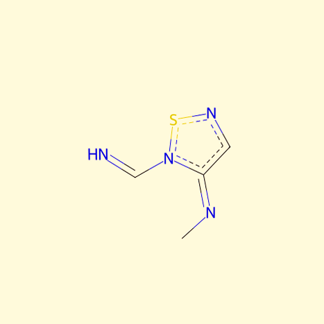 C/N=c1/cnsn1C=N